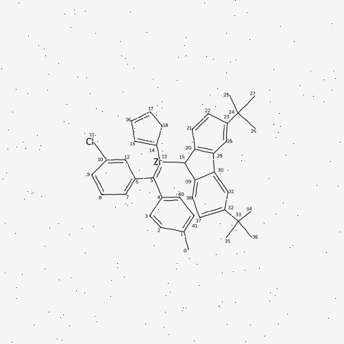 Cc1ccc([C](c2cccc(Cl)c2)=[Zr]([C]2=CC=CC2)[CH]2c3ccc(C(C)(C)C)cc3-c3cc(C(C)(C)C)ccc32)cc1